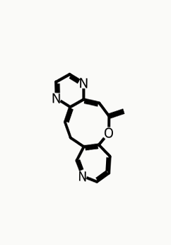 C=C1/C=c2/nccn/c2=C/CC2=C(C=C=CN=C2)O1